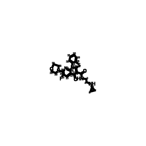 O=C(NCCNC1CC1)c1c(=O)c2cc(F)c(N3CCOCC3)nc2n2c1sc1ccccc12